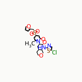 Cc1cc(S(=O)(=O)Cc2ccco2)cc(=O)n1C(CC1CCOCC1)C(=O)Nc1ncc(Cl)s1